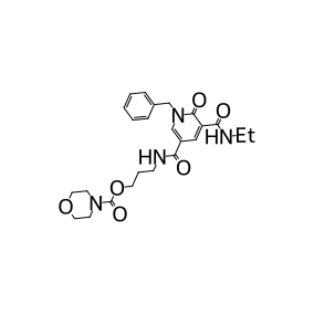 CCNC(=O)c1cc(C(=O)NCCCOC(=O)N2CCOCC2)cn(Cc2ccccc2)c1=O